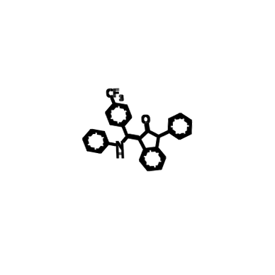 O=C1C(=C(Nc2ccccc2)c2ccc(C(F)(F)F)cc2)c2ccccc2C1c1ccccc1